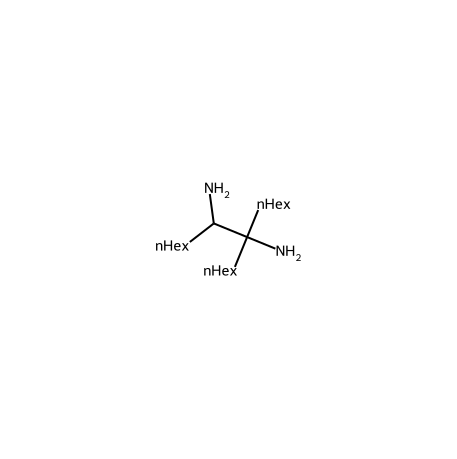 CCCCCCC(N)C(N)(CCCCCC)CCCCCC